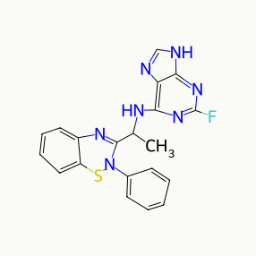 CC(Nc1nc(F)nc2[nH]cnc12)C1=Nc2ccccc2SN1c1ccccc1